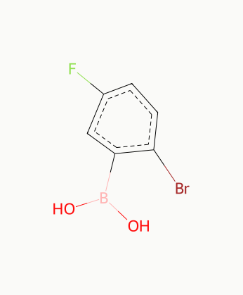 OB(O)c1cc(F)ccc1Br